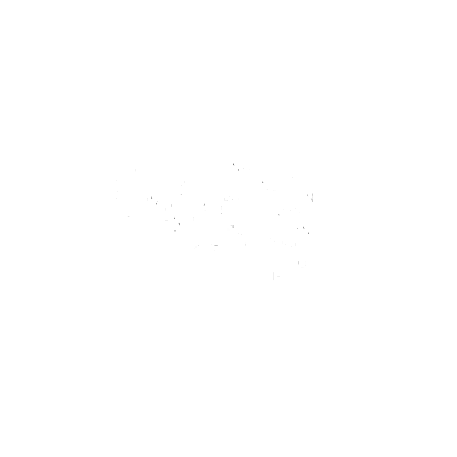 COC(=O)Nc1cc(-c2cncc(-c3cc(NC(=O)N4CCCCCC4)ccc3C)c2)ccn1